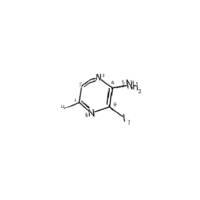 Cc1cnc(N)c(I)n1